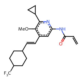 C=CC(=O)Nc1cc(C=CC2CCC(C(F)(F)F)CC2)c(OC)c(C2CC2)n1